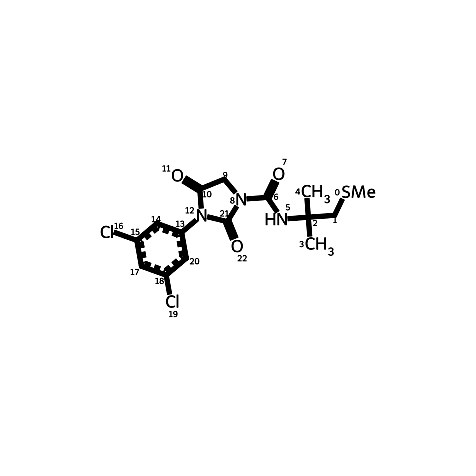 CSCC(C)(C)NC(=O)N1CC(=O)N(c2cc(Cl)cc(Cl)c2)C1=O